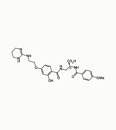 COc1ccc(C(=O)N[C@@H](CNC(=O)c2ccc(OCCNC3=NCCCN3)cc2O)C(=O)O)cc1